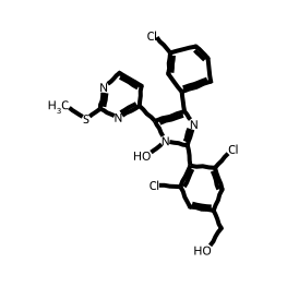 CSc1nccc(-c2c(-c3cccc(Cl)c3)nc(-c3c(Cl)cc(CO)cc3Cl)n2O)n1